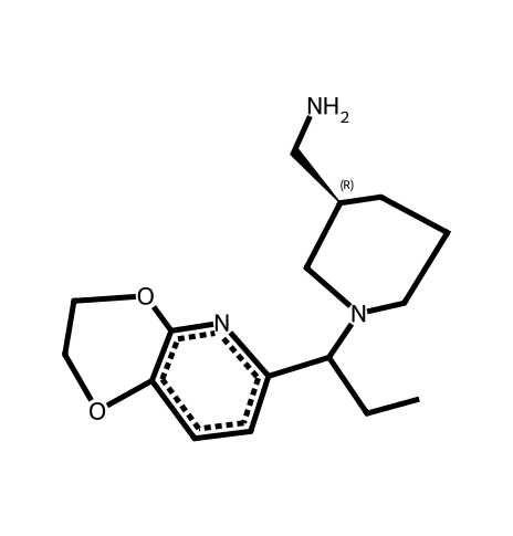 CCC(c1ccc2c(n1)OCCO2)N1CCC[C@H](CN)C1